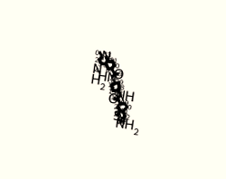 Cc1cc(N)c2cc(C(=O)Nc3ccc(NC(=O)C4=CCC5=CN(N)SC5=C4)cc3)ccc2n1